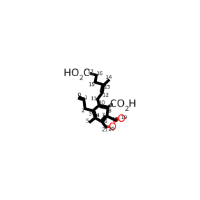 C=CCc1c(C)c2c(c(C(=O)O)c1CC=C(C)CCC(=O)O)C(=O)OC2